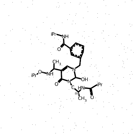 CC(C)NC(=O)c1cccc(CN2C=C(C(C)NOC(C)C)C(=O)N(C[C@H](C)NC(=O)C(C)C)C2O)c1